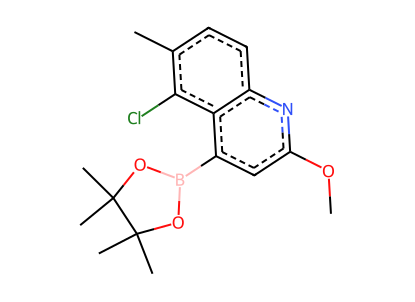 COc1cc(B2OC(C)(C)C(C)(C)O2)c2c(Cl)c(C)ccc2n1